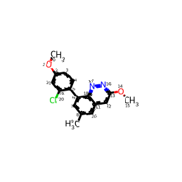 COc1ccc(-c2cc(C)cc3cc(OC)nnc23)c(Cl)c1